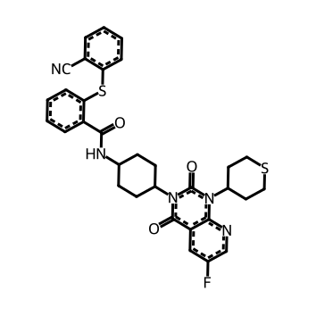 N#Cc1ccccc1Sc1ccccc1C(=O)NC1CCC(n2c(=O)c3cc(F)cnc3n(C3CCSCC3)c2=O)CC1